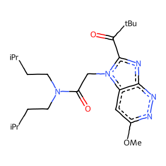 COc1cc2c(nn1)nc(C(=O)C(C)(C)C)n2CC(=O)N(CCC(C)C)CCC(C)C